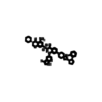 CC(C)c1ccccc1[C@H]1CCC[C@H]1N1CC2(CCN(c3ccc(C(=O)NS(=O)(=O)c4cc5c(c([N+](=O)[O-])c4)N[C@@H](C4CCCCC4)CO5)c(Oc4cnc5[nH]cc(F)c5c4)c3)CC2)C1